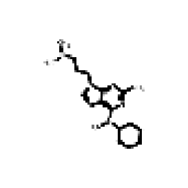 CN(C)CCCn1cnc2c(N(N)C3CCCCC3)nc(N)nc21